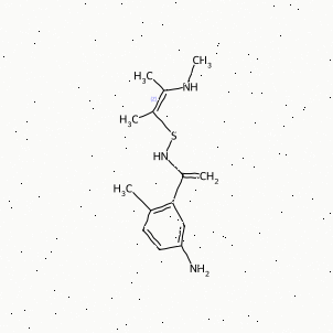 C=C(NS/C(C)=C(/C)NC)c1cc(N)ccc1C